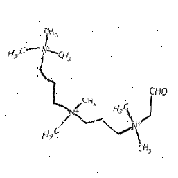 C[N+](C)(C)CCC[N+](C)(C)CCC[N+](C)(C)CC=O